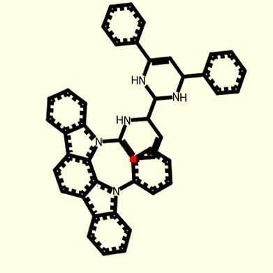 C1=CC(C2NC(c3ccccc3)=CC(c3ccccc3)N2)NC(n2c3ccccc3c3ccc4c5ccccc5n(-c5ccccc5)c4c32)=C1